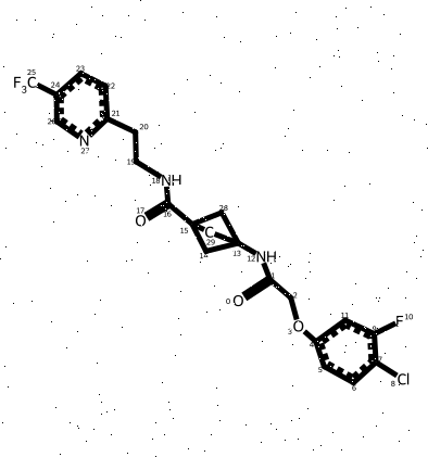 O=C(COc1ccc(Cl)c(F)c1)NC12CC(C(=O)NCCc3ccc(C(F)(F)F)cn3)(C1)C2